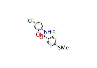 CSc1ccc(C(=O)Nc2ccc(Cl)cc2O)c(F)c1